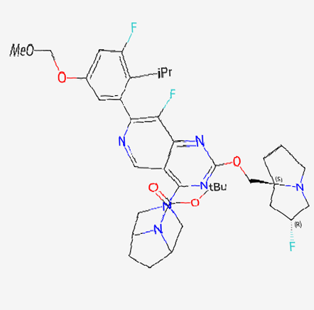 COCOc1cc(F)c(C(C)C)c(-c2ncc3c(N4CC5CCC(C4)N5C(=O)OC(C)(C)C)nc(OC[C@@]45CCCN4C[C@H](F)C5)nc3c2F)c1